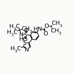 Cc1ncc(-c2ccc(NC(=O)OC(C)C)cc2S(=O)(=O)NC(C)(C)C)s1